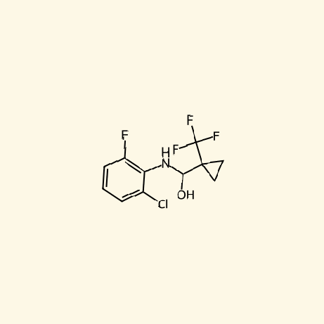 OC(Nc1c(F)cccc1Cl)C1(C(F)(F)F)CC1